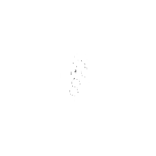 Cc1cc2ccc(Cl)cc2cc1C(OC1CCCCC1)=C1C(=O)N(C2CCCCC2)C(=O)N(C2CCCCC2)C1=O